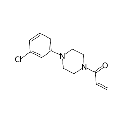 C=CC(=O)N1CCN(c2cccc(Cl)c2)CC1